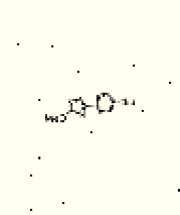 COc1nc(-c2ccc(C(C)(C)C)cc2)cs1